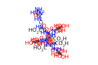 CCCSC[C@H](NC(=O)[C@H](CCC(=O)NC[C@H](O)[C@@H](O)[C@H](O)[C@H](O)CO)NC(=O)[C@H](CCC(=O)O)NC(=O)[C@H](CCC(=O)NC[C@H](O)[C@@H](O)[C@H](O)[C@H](O)CO)NC(=O)[C@H](CCC(=O)O)NC(=O)[C@H](CCC(=O)NC[C@H](O)[C@@H](O)[C@H](O)[C@H](O)CO)NC(=O)CC[C@H](NC(=O)c1ccc(NCc2cnc3nc(N)[nH]c(=O)c3n2)cc1)C(=O)O)C(=O)O